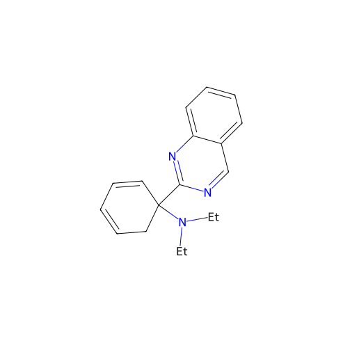 CCN(CC)C1(c2ncc3ccccc3n2)C=CC=CC1